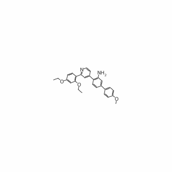 CCOc1ccc(-c2cc(-c3ccc(-c4ccc(OC)cc4)cc3N)ccn2)c(OCC)c1